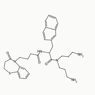 NCCCN(CCCN)C(=O)C(Cc1ccc2ccccc2c1)NC(=O)CCCN1C(=O)CCSc2ccccc21